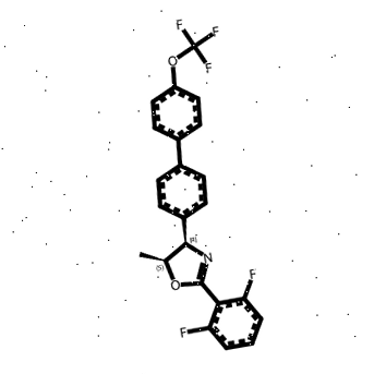 C[C@@H]1OC(c2c(F)cccc2F)=N[C@@H]1c1ccc(-c2ccc(OC(F)(F)F)cc2)cc1